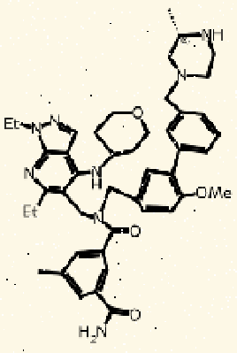 CCc1nc2c(cnn2CC)c(NC2CCOCC2)c1CN(Cc1ccc(OC)c(-c2cccc(CN3CCN[C@@H](C)C3)c2)c1)C(=O)c1cc(C)cc(C(N)=O)c1